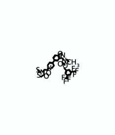 CCN(C(=O)OCc1cc(C(F)(F)F)cc(C(F)(F)F)c1)c1noc2ccc(C3=CCN(C(=O)CN4C(=O)CSC4=S)CC3)cc12